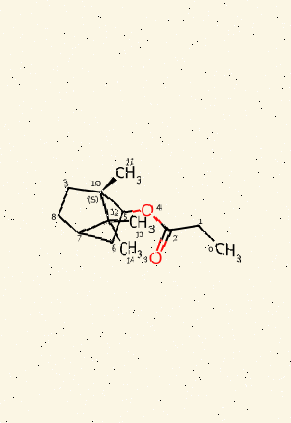 CCC(=O)OC1CC2CC[C@@]1(C)C2(C)C